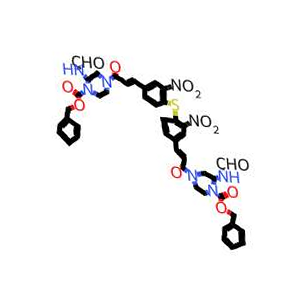 O=CNC1CN(C(=O)/C=C/c2ccc(Sc3ccc(/C=C/C(=O)N4CCN(C(=O)OCc5ccccc5)C(NC=O)C4)cc3[N+](=O)[O-])c([N+](=O)[O-])c2)CCN1C(=O)OCc1ccccc1